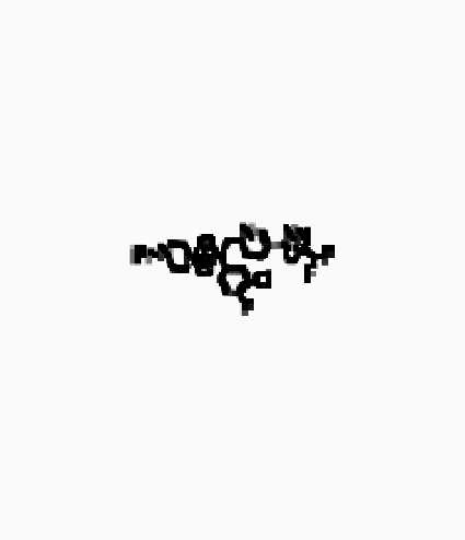 CC(C)N1CCN(S(=O)(=O)N(Cc2ccc(-c3nnc(C(F)F)o3)cn2)c2ccc(F)c(Cl)c2)CC1